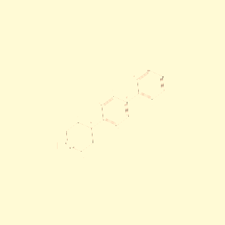 c1ccc(-c2ccc(C3CCNCC3)cc2)cc1